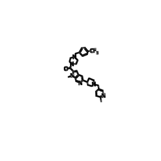 Cc1ccc(CN2CCC(c3cc4cc(C(=O)N5CCN(Cc6ccc(C(F)(F)F)cc6)CC5)n(C)c4cn3)CC2)cn1